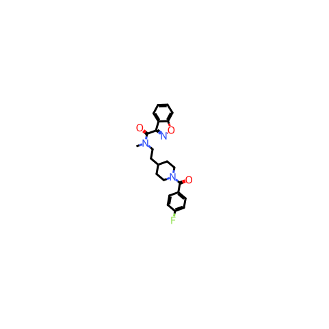 CN(CCC1CCN(C(=O)c2ccc(F)cc2)CC1)C(=O)c1noc2ccccc12